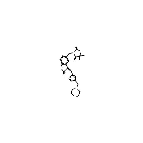 CC1(C)OC(=O)N(Cc2ccc3c(c2)/C(=C/c2cc(CN4CCOCC4)c[nH]2)C(=O)N3)C1=O